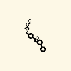 O=COC1CN(Cc2ccc(-c3cc4cc(-c5ccccc5)ccc4o3)cc2)C1